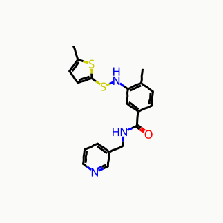 Cc1ccc(SNc2cc(C(=O)NCc3cccnc3)ccc2C)s1